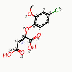 COc1cc(Cl)ccc1O/C(=C/C(=O)O)C(=O)O